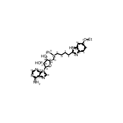 CCOc1ccc2nc(CCCCN(C[C@H]3OC(n4cnc5c(N)ncnc54)[C@H](O)[C@@H]3O)C(C)C)[nH]c2c1